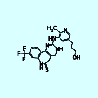 Cc1ncc(CCCO)cc1NC1=NC2=C(CN1)CC(=S)Nc1cc(C(F)(F)F)ccc12